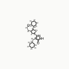 O=c1[nH]nc(-c2cc3c(s2)-c2ccccc2OCC3)n1Cc1ccccc1